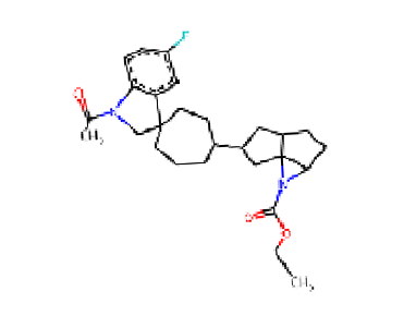 CCOC(=O)N1C2CCC3CC(C4CCCC5(CC4)CN(C(C)=O)c4ccc(F)cc45)CC321